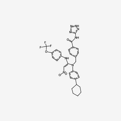 O=C(Nc1nn[nH]n1)c1ccc(CN(/C(=C\[N+](=O)[O-])Nc2ccc(OC(F)(F)F)cc2)c2ccc(C3CCCCC3)cc2)cc1